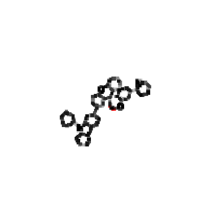 c1ccc(-n2c3ccccc3c3ccc(-c4ccc5c(c4)C4(c6ccccc6Oc6cc(-c7ccccn7)ccc64)c4ccccc4O5)cc32)cc1